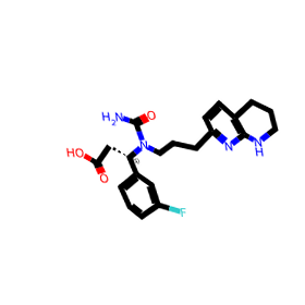 NC(=O)N(CCCc1ccc2c(n1)NCCC2)[C@@H](CC(=O)O)c1cccc(F)c1